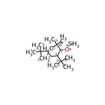 CC(C)(C)CCC(C(O[SiH3])C(C)(C)C)C(C)(C)C